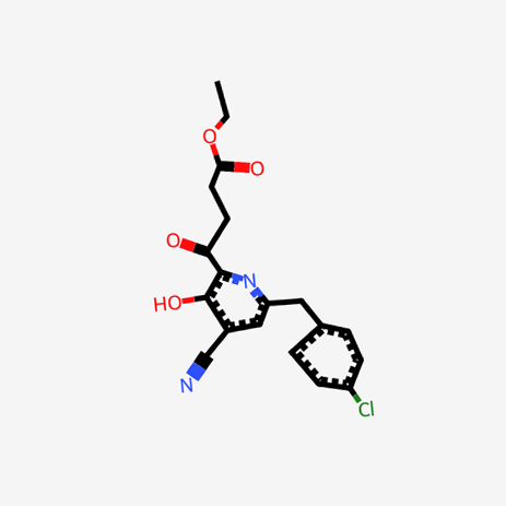 CCOC(=O)CCC(=O)c1nc(Cc2ccc(Cl)cc2)cc(C#N)c1O